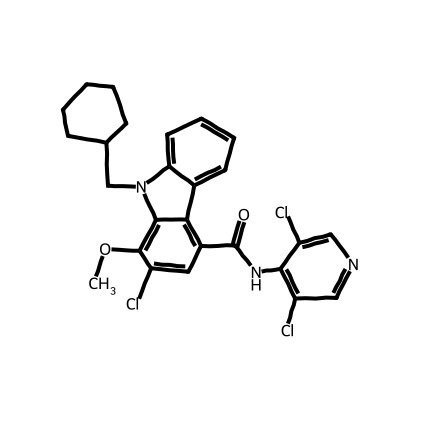 COc1c(Cl)cc(C(=O)Nc2c(Cl)cncc2Cl)c2c3ccccc3n(CC3CCCCC3)c12